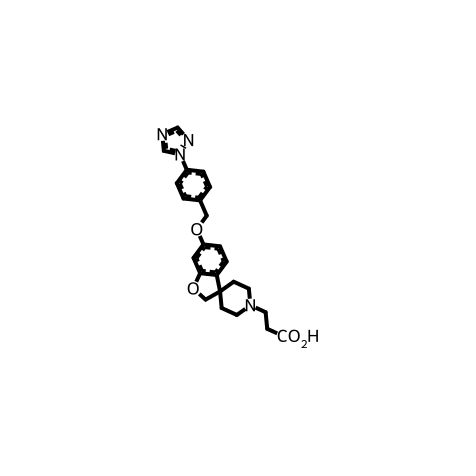 O=C(O)CCN1CCC2(CC1)COc1cc(OCc3ccc(-n4cncn4)cc3)ccc12